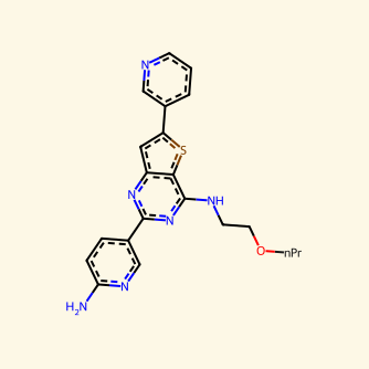 CCCOCCNc1nc(-c2ccc(N)nc2)nc2cc(-c3cccnc3)sc12